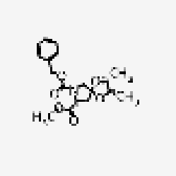 COC(=O)[C@@H]1CC2(CN1C(=O)OCc1ccccc1)O[C@H](C)[C@@H](C)O2